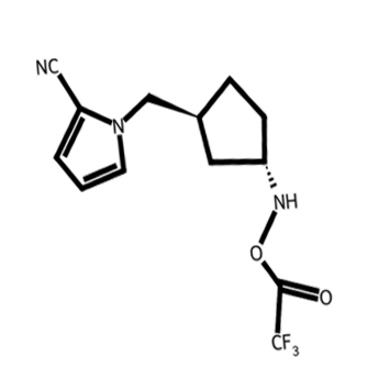 N#Cc1cccn1C[C@H]1CC[C@H](NOC(=O)C(F)(F)F)C1